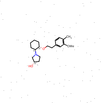 COc1cc(CCO[C@H]2CCCC[C@@H]2N2CC[C@H](O)C2)ccc1C